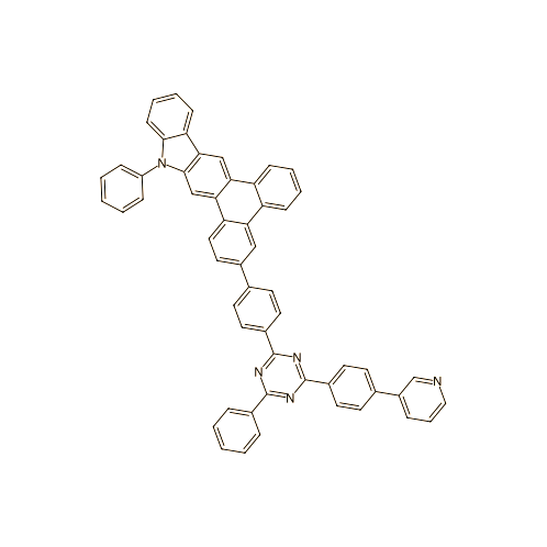 c1ccc(-c2nc(-c3ccc(-c4cccnc4)cc3)nc(-c3ccc(-c4ccc5c(c4)c4ccccc4c4cc6c7ccccc7n(-c7ccccc7)c6cc54)cc3)n2)cc1